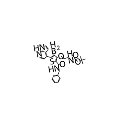 Bc1c(-c2ccnc3[nH]ccc23)sc(C(=O)NCc2ccccc2)c1OCCNC(=O)OC(C)(C)C